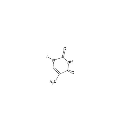 Cc1cn(I)c(=O)[nH]c1=O